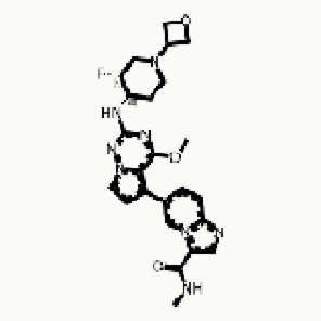 CNC(=O)c1cnc2ccc(-c3ccn4nc(N[C@H]5CCN(C6COC6)C[C@H]5F)nc(OC)c34)cn12